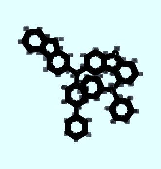 c1ccc(-c2ccc(N(c3ccc4c(c3)sc3ccccc34)c3ccc4oc5cccc(N(c6ccccc6)c6ccccc6)c5c4c3)cc2)cc1